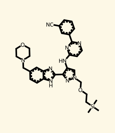 C[Si](C)(C)CCOCn1cc(Nc2ccnc(-c3cccc(C#N)c3)n2)c(-c2nc3cc(CN4CCOCC4)ccc3[nH]2)n1